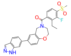 CCc1c(C(=O)N2CCOc3ccc(-c4ccc5cn[nH]c5c4)cc3C2)ccc(S(C)(=O)=O)c1F